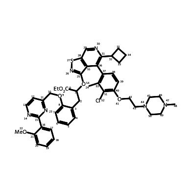 CCOC(=O)C(Cc1ccccc1OCc1ccnc(-c2ccccc2OC)n1)Oc1nsc2cnc(C3CCC3)c(-c3ccc(OCCN4CCN(C)CC4)c(Cl)c3C)c12